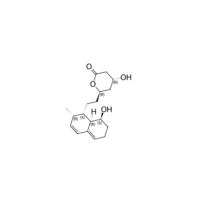 C[C@H]1C=CC2=CCC[C@H](O)[C@@H]2[C@H]1CC[C@@H]1C[C@@H](O)CC(=O)O1